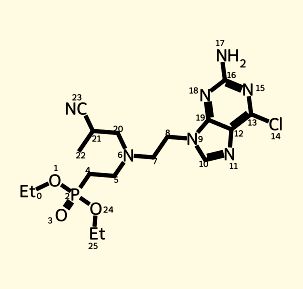 CCOP(=O)(CCN(CCn1cnc2c(Cl)nc(N)nc21)CC(C)C#N)OCC